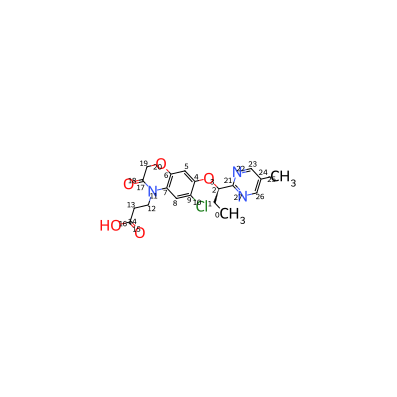 CC[C@@H](Oc1cc2c(cc1Cl)N(CCC(=O)O)C(=O)CO2)c1ncc(C)cn1